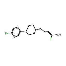 N#CC(F)=CCC[C@H]1CC[C@H](c2ccc(F)cc2)CC1